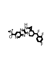 CN(C)C(=O)c1cc2nc(NC3CC3)c(N3CCC([C@H](F)c4ccc(F)cc4F)CC3)nc2cn1